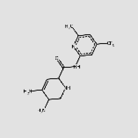 Cc1cc(C(F)(F)F)cc(NC(=O)C2C=C(N)C(N)CN2)n1